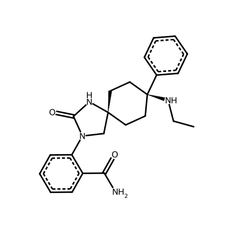 CCN[C@]1(c2ccccc2)CC[C@@]2(CC1)CN(c1ccccc1C(N)=O)C(=O)N2